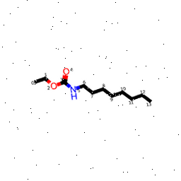 C[CH]OC(=O)NCCCCCCCC